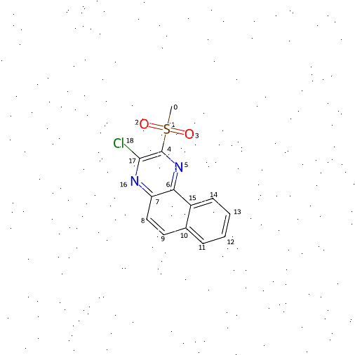 CS(=O)(=O)c1nc2c(ccc3ccccc32)nc1Cl